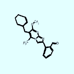 COc1nc2nc(-c3ccccc3C=O)cn2c(C)c1CC1CCCCC1